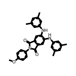 COc1ccc(N2C(=O)c3cc(Nc4cc(C)cc(C)c4)c(Nc4cc(C)cc(C)c4)cc3C2=O)cc1